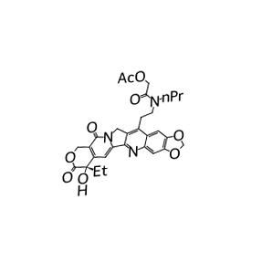 CCCN(CCc1c2c(nc3cc4c(cc13)OCO4)-c1cc3c(c(=O)n1C2)COC(=O)[C@]3(O)CC)C(=O)COC(C)=O